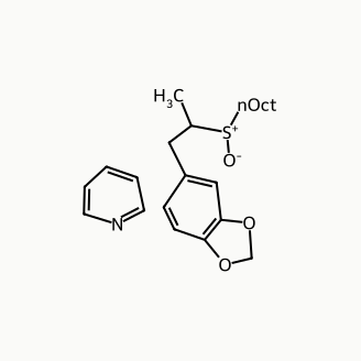 CCCCCCCC[S+]([O-])C(C)Cc1ccc2c(c1)OCO2.c1ccncc1